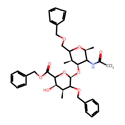 C[C@@H]1OC(COCc2ccccc2)[C@H](C)[C@H](O[C@@H]2OC(C(=O)OCc3ccccc3)[C@H](O)[C@H](C)C2OCc2ccccc2)C1NC(=O)C(Cl)(Cl)Cl